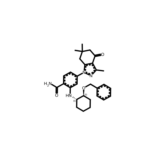 Cc1nn(-c2ccc(C(N)=O)c(N[C@H]3CCCC[C@@H]3OCc3ccccc3)c2)c2c1C(=O)CC(C)(C)C2